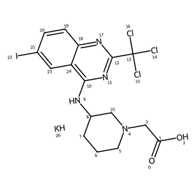 O=C(O)CN1CCCC(Nc2nc(C(Cl)(Cl)Cl)nc3ccc(I)cc23)C1.[KH]